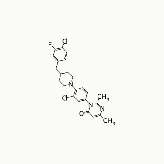 Cc1cc(=O)n(-c2ccc(N3CCC(Cc4ccc(Cl)c(F)c4)CC3)c(Cl)c2)c(C)n1